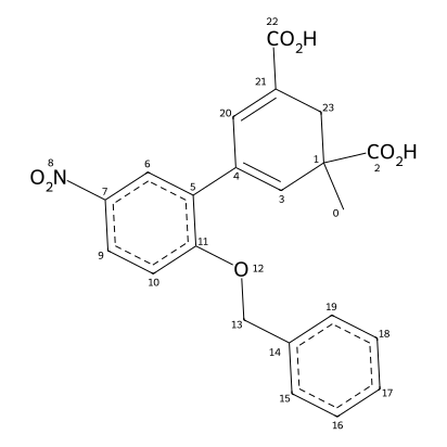 CC1(C(=O)O)C=C(c2cc([N+](=O)[O-])ccc2OCc2ccccc2)C=C(C(=O)O)C1